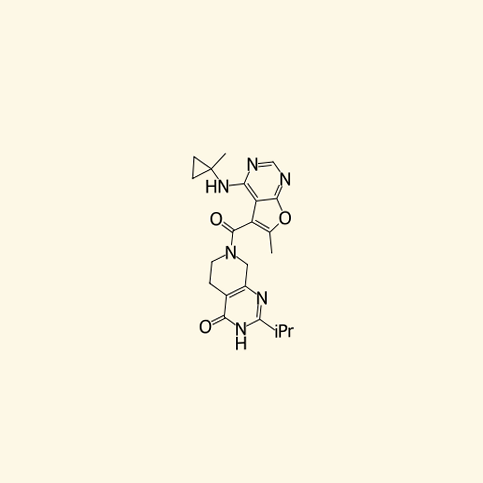 Cc1oc2ncnc(NC3(C)CC3)c2c1C(=O)N1CCc2c(nc(C(C)C)[nH]c2=O)C1